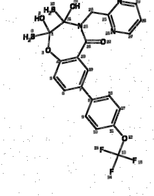 BC1(O)Oc2ccc(-c3ccc(OC(F)(F)F)cc3)cc2C(=O)N(Cc2ncccn2)C1(B)O